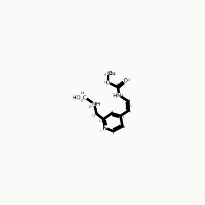 CC(C)(C)OC(=O)N/C=C\c1ccnc(CNC(=O)O)c1